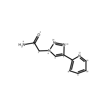 NC(=O)Cn1cc(-c2ccccn2)nn1